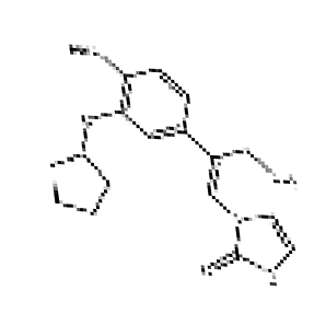 COc1ccc(C(=Cn2cc[nH]c2=O)CC(=O)O)cc1OC1CCCC1